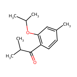 Cc1ccc(C(=O)C(C)C)c(OC(C)C)c1